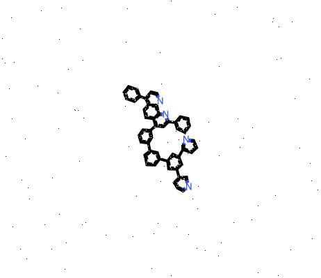 c1ccc(-c2cc(-c3cccc(-c4cccc(-c5cc(-c6cccnc6)cc(-c6cccnc6)c5)c4)c3)c3ccc4c(-c5ccccc5)ccnc4c3n2)cc1